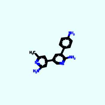 Cc1cc(-c2cnc(N)c(-c3ccc(N)cc3)c2)cc(N)n1